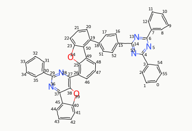 c1ccc(-c2nc(-c3ccccc3)nc(-c3ccc(-c4cccc5oc6c(-c7nc(-c8ccccc8)nc8c7oc7ccccc78)cccc6c45)cc3)n2)cc1